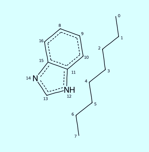 CCCCCCCC.c1ccc2[nH]cnc2c1